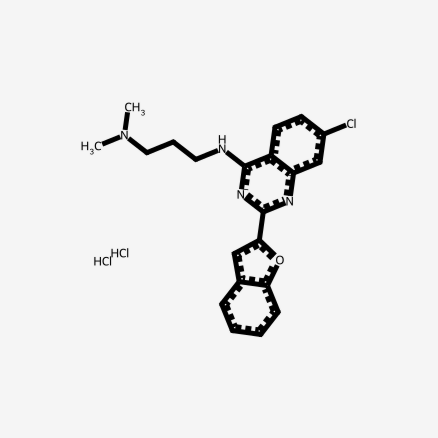 CN(C)CCCNc1nc(-c2cc3ccccc3o2)nc2cc(Cl)ccc12.Cl.Cl